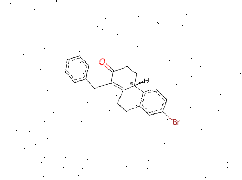 O=C1CC[C@H]2C(=C1Cc1ccccc1)CCc1cc(Br)ccc12